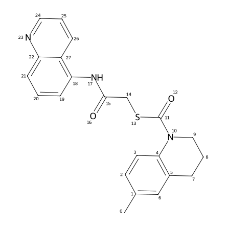 Cc1ccc2c(c1)CCCN2C(=O)SCC(=O)Nc1cccc2ncccc12